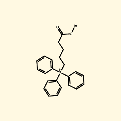 O=C(CCCC[PH](c1ccccc1)(c1ccccc1)c1ccccc1)OBr